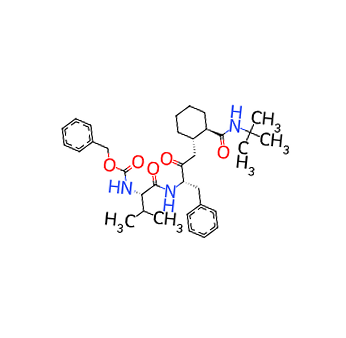 CC(C)[C@H](NC(=O)OCc1ccccc1)C(=O)N[C@@H](Cc1ccccc1)C(=O)C[C@@H]1CCCC[C@H]1C(=O)NC(C)(C)C